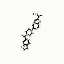 CC(O)c1cn2cc(N3CCN(C(C)c4ccc5c(c4)OCC5)CC3)ncc2n1